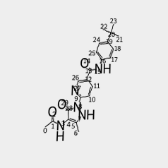 CC(=O)Nc1c(C)[nH]n(-c2ccc(C(=O)Nc3ccc(C(C)(C)C)cc3)cn2)c1=O